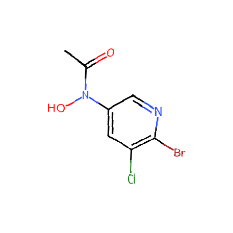 CC(=O)N(O)c1cnc(Br)c(Cl)c1